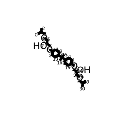 C=C(C)COCC(O)COc1ccc(C(C)(C)c2ccc(OCC(O)COCC(=C)C)cc2)cc1